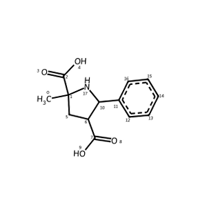 CC1(C(=O)O)CC(C(=O)O)C(c2ccccc2)N1